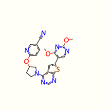 COc1ncc(-c2cc3c(N4CCC(Oc5ccc(C#N)cn5)C4)ncnc3s2)c(OC)n1